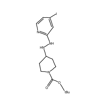 CC(C)(C)OC(=O)N1CCC(NNc2cc(I)ccn2)CC1